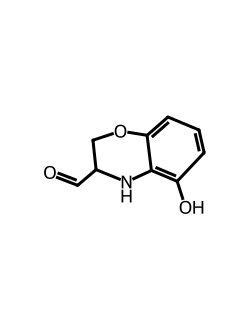 O=CC1COc2cccc(O)c2N1